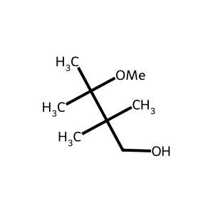 COC(C)(C)C(C)(C)CO